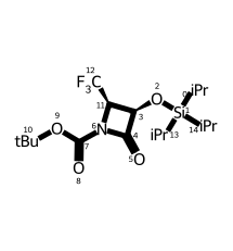 CC(C)[Si](O[C@H]1C(=O)N(C(=O)OC(C)(C)C)[C@H]1C(F)(F)F)(C(C)C)C(C)C